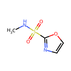 CNS(=O)(=O)c1ncco1